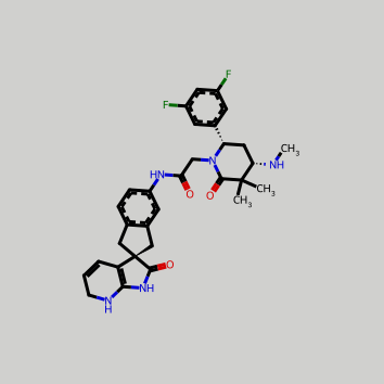 CN[C@H]1C[C@@H](c2cc(F)cc(F)c2)N(CC(=O)Nc2ccc3c(c2)C[C@@]2(C3)C(=O)NC3=C2C=CCN3)C(=O)C1(C)C